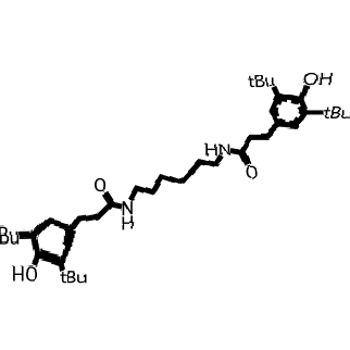 CC(C)(C)C1=C(O)C(C(C)(C)C)CC(CCC(=O)NCCCCCCNC(=O)CCc2cc(C(C)(C)C)c(O)c(C(C)(C)C)c2)=C1